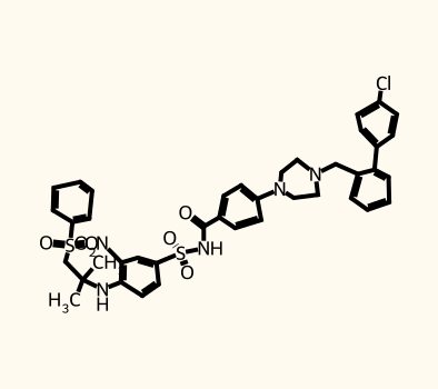 CC(C)(CS(=O)(=O)c1ccccc1)Nc1ccc(S(=O)(=O)NC(=O)c2ccc(N3CCN(Cc4ccccc4-c4ccc(Cl)cc4)CC3)cc2)cc1[N+](=O)[O-]